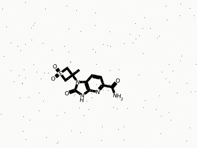 CC1(n2c(=O)[nH]c3nc(C(N)=O)ccc32)CS(=O)(=O)C1